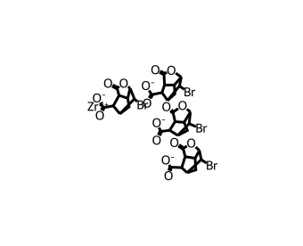 O=C([O-])C1C2CC3C(OC(=O)C31)C2Br.O=C([O-])C1C2CC3C(OC(=O)C31)C2Br.O=C([O-])C1C2CC3C(OC(=O)C31)C2Br.O=C([O-])C1C2CC3C(OC(=O)C31)C2Br.[Zr+4]